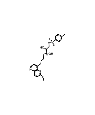 COc1ccc2nccc(CCCC[C@@H](O)[C@@H](O)COS(=O)(=O)c3ccc(C)cc3)c2n1